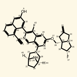 C#Cc1cccc2cc(O)cc(-c3ncc4c(N5C[C@H]6CC[C@@H](C5)N6)nc(OC[C@]56CC(=C)CN5C[C@H](F)C6)nc4c3F)c12